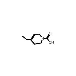 CCC1=CCN(C(=O)O)CC1